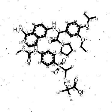 CCOc1cc([C@@H](Nc2ccc3c(N)nccc3c2)C(=O)N2CCC[C@@H]2c2cc(NC(=O)OC)ccc2S(=O)(=O)C(C)C)ccc1OC(C)C.O=C(O)C(F)(F)F